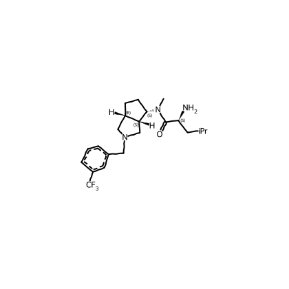 CC(C)C[C@H](N)C(=O)N(C)[C@H]1CC[C@H]2CN(Cc3cccc(C(F)(F)F)c3)C[C@H]21